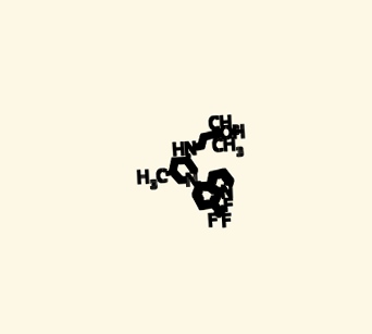 C[C@H]1C[C@@H](NCCC(C)(C)O)CN(c2ccc(C(F)(F)F)c3ncccc23)C1